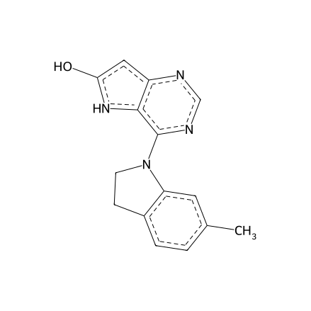 Cc1ccc2c(c1)N(c1ncnc3cc(O)[nH]c13)CC2